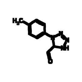 Cc1ccc(N2N=NNC2C=O)cc1